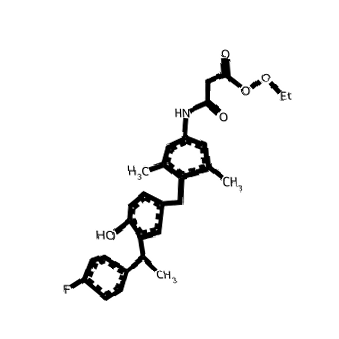 CCOOC(=O)CC(=O)Nc1cc(C)c(Cc2ccc(O)c(C(C)c3ccc(F)cc3)c2)c(C)c1